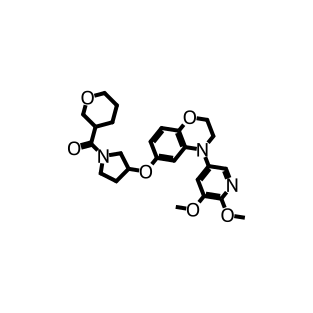 COc1cc(N2CCOc3ccc(OC4CCN(C(=O)C5CCCOC5)C4)cc32)cnc1OC